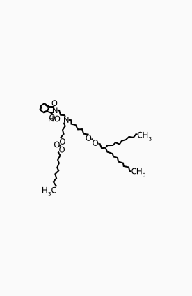 CCCCCCCCCCCOC(=O)OCCCCCN(CCCCCCCOCOCCC(CCCCCCCCCC)CCCCCCCCCC)CC(O)CN1C(=O)c2ccccc2C1=O